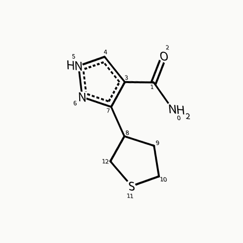 NC(=O)c1c[nH]nc1C1CCSC1